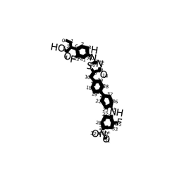 CCC(C(=O)O)c1ccc(NC2=NC(=O)/C(=C\c3ccc(-c4ccc(Nc5ccc([N+](=O)[O-])cc5F)cc4)cc3)S2)cc1F